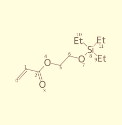 C=CC(=O)OCCO[Si](CC)(CC)CC